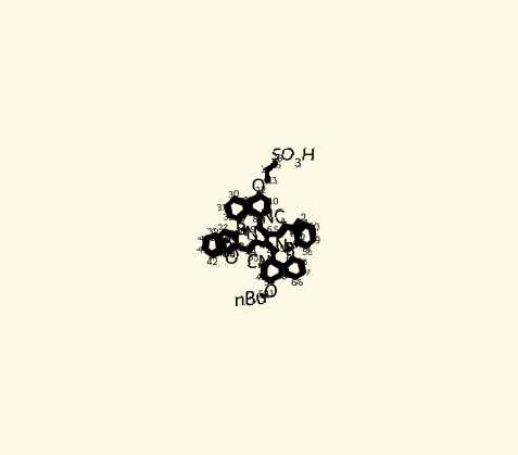 C=C(C)/C(C#N)=c1/c2c(-c3ccc(OCCCS(=O)(=O)O)cc3)n(B(c3ccccc3)c3ccccc3)/c(=C(/C#N)c3nc4ccccc4o3)c2c(-c2ccc(OCCCC)cc2)n1B(c1ccccc1)c1ccccc1